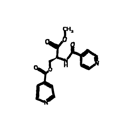 COC(=O)[C@H](COC(=O)c1ccncc1)NC(=O)c1ccncc1